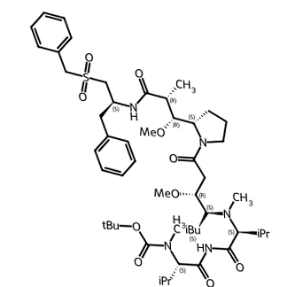 CC[C@H](C)[C@@H]([C@@H](CC(=O)N1CCC[C@H]1[C@H](OC)[C@@H](C)C(=O)N[C@@H](Cc1ccccc1)CS(=O)(=O)Cc1ccccc1)OC)N(C)[C@H](C(=O)NC(=O)[C@H](C(C)C)N(C)C(=O)OC(C)(C)C)C(C)C